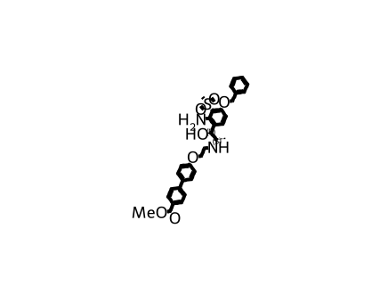 COC(=O)c1ccc(-c2ccc(OCCN[C@@H](C)[C@H](O)c3ccc(OCc4ccccc4)c(S(C)(=O)=O)c3N)cc2)cc1